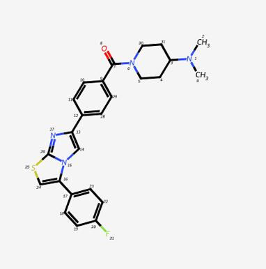 CN(C)C1CCN(C(=O)c2ccc(-c3cn4c(-c5ccc(F)cc5)csc4n3)cc2)CC1